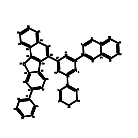 C1=CC(c2nc(-c3ccc4ccccc4c3)nc(-c3cc4ccccc4c4oc5cc(-c6ccccc6)ccc5c34)n2)=CCC1